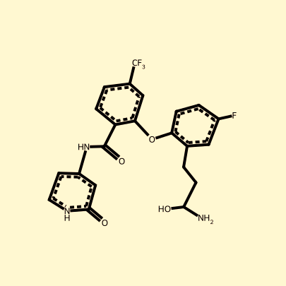 NC(O)CCc1cc(F)ccc1Oc1cc(C(F)(F)F)ccc1C(=O)Nc1cc[nH]c(=O)c1